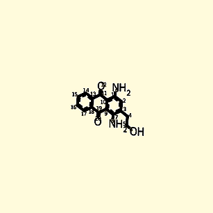 Nc1cc(CCO)c(N)c2c1C(=O)c1ccccc1C2=O